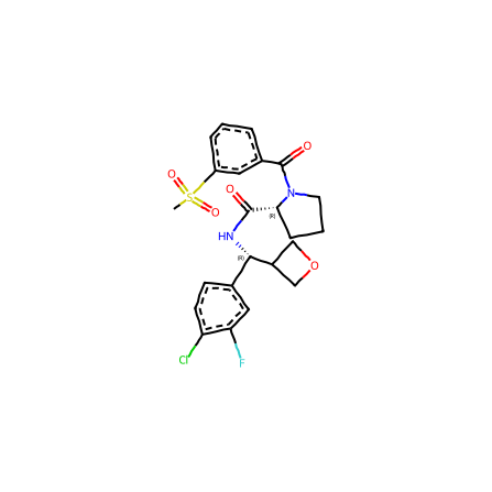 CS(=O)(=O)c1cccc(C(=O)N2CCC[C@@H]2C(=O)N[C@@H](c2ccc(Cl)c(F)c2)C2COC2)c1